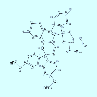 CCCOc1ccc(C2(c3ccc(OCCC)cc3)C=Cc3c4c(c5ccc(C)cc5c3O2)-c2ccc(C)cc2C4(CCCF)CCCF)cc1